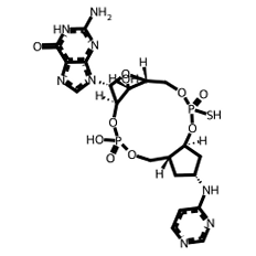 Nc1nc2c(ncn2[C@@H]2O[C@@H]3COP(=O)(S)O[C@H]4C[C@H](Nc5ccncn5)C[C@@H]4COP(=O)(O)O[C@@H]2[C@@H]3O)c(=O)[nH]1